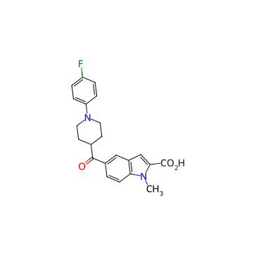 Cn1c(C(=O)O)cc2cc(C(=O)C3CCN(c4ccc(F)cc4)CC3)ccc21